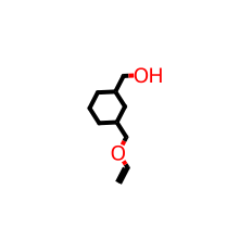 C=COCC1CCCC(CO)C1